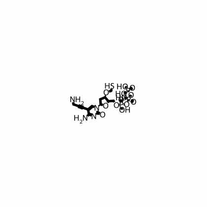 NCC#Cc1cn([C@H]2C[C@@H](OCS)C(COP(=O)(O)OP(=O)(O)OP(=O)(O)O)O2)c(=O)nc1N